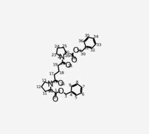 O=C(OCc1ccccc1)[C@H]1CCCN1C(=O)CCCC(=O)N1CCC[C@@H]1C(=O)OCc1ccccc1